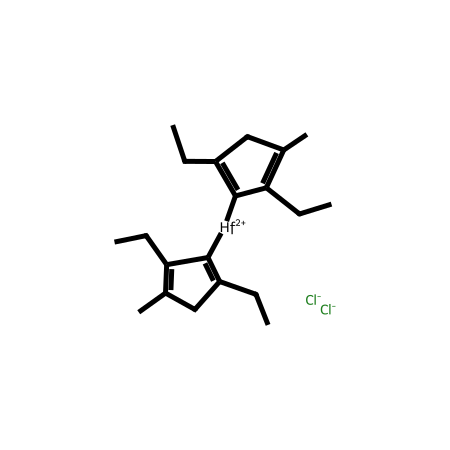 CCC1=[C]([Hf+2][C]2=C(CC)CC(C)=C2CC)C(CC)=C(C)C1.[Cl-].[Cl-]